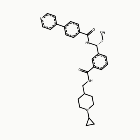 O=C(NCC1CCN(C2CC2)CC1)c1cccc([C@@H](CO)NC(=O)c2ccc(-c3ccncc3)cc2)c1